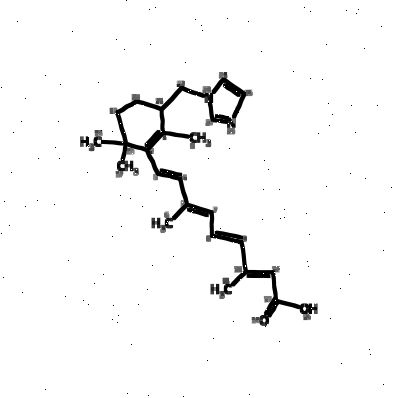 CC1=C(/C=C/C(C)=C/C=C/C(C)=C/C(=O)O)C(C)(C)CCC1Cn1ccnc1